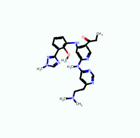 CCC(=O)c1cnc(N(C)c2cc(CCN(C)C)ncn2)cc1Nc1cccc(-c2ncn(C)n2)c1OC